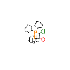 CC(=O)C(Cl)[PH](c1ccccc1)(c1ccccc1)c1ccccc1